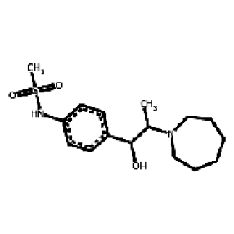 CC(C(O)c1ccc(NS(C)(=O)=O)cc1)N1CCCCCC1